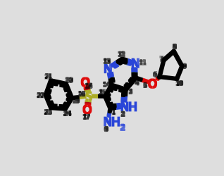 Nc1[nH]c2c(OC3CCCC3)ncnc2c1S(=O)(=O)c1ccccc1